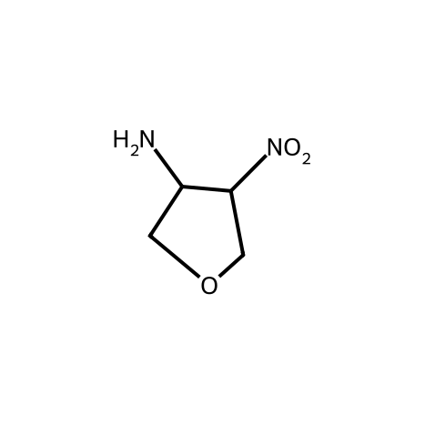 NC1COCC1[N+](=O)[O-]